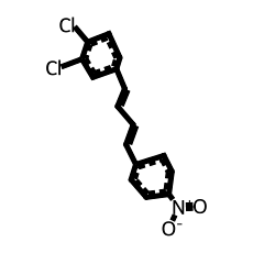 O=[N+]([O-])c1ccc(C=CC=Cc2ccc(Cl)c(Cl)c2)cc1